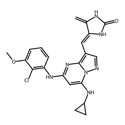 C=c1[nH]c(=O)[nH]/c1=C\c1cnn2c(NC3CC3)cc(Nc3cccc(OC)c3Cl)nc12